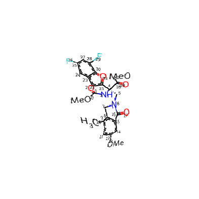 COC(=O)N[C@](CN1Cc2c(C)cc(OC)cc2C1=O)(C(=O)OC)c1cc2cc(F)cc(F)c2o1